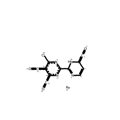 O=C=C1C=CN=C(c2nc(Cl)c(=C=O)c(=C=O)n2)N1.[Re]